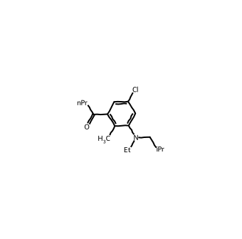 CCCC(=O)c1cc(Cl)cc(N(CC)CC(C)C)c1C